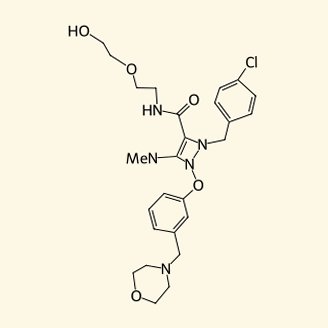 CNc1c(C(=O)NCCOCCO)n(Cc2ccc(Cl)cc2)n1Oc1cccc(CN2CCOCC2)c1